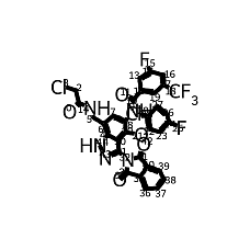 O=C(CCl)NCc1cc(NC(=O)c2cc(F)cc(C(F)(F)F)c2)c(Oc2cc(F)ccc2Cl)c2c(N3C(=O)c4ccccc4C3=O)n[nH]c12